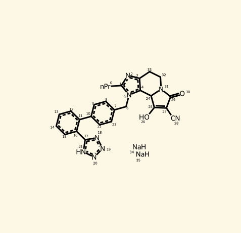 CCCc1nc2c(n1Cc1ccc(-c3ccccc3-c3nnn[nH]3)cc1)C1C(O)=C(C#N)C(=O)N1CC2.[NaH].[NaH]